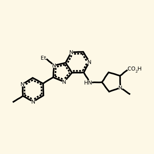 CCn1c(-c2cnc(C)nc2)nc2c(NC3CC(C(=O)O)N(C)C3)ncnc21